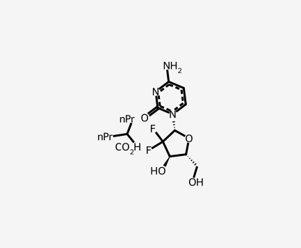 CCCC(CCC)C(=O)O.Nc1ccn([C@@H]2O[C@H](CO)[C@@H](O)C2(F)F)c(=O)n1